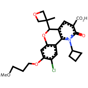 COCCCOc1cc2c(cc1Cl)-c1c(cc(C(=O)O)c(=O)n1C1CCC1)C(C1(C)COC1)O2